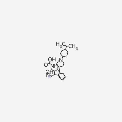 CC(C)C1CCC(N2CCC(n3c(CNC(=O)O)c(/C=N\O)c4ccccc43)CC2)CC1